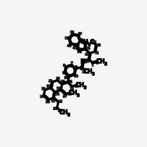 C=CC(/N=C(\C)c1cccc(/C(CC)=C2\CC=C3CC=CC(CCC)=C3\C2=C\C)c1)=C(\C=C/C)c1cn2ccccc2n1